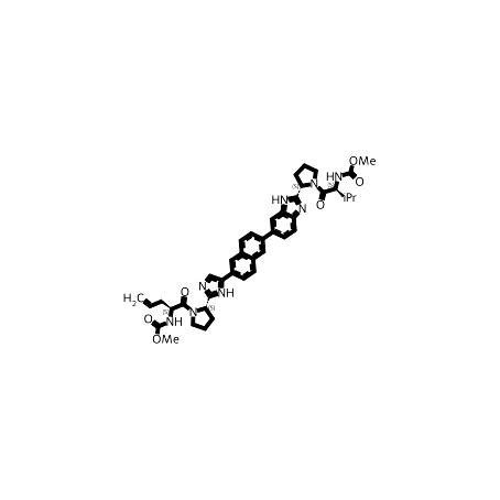 C=CC[C@H](NC(=O)OC)C(=O)N1CCC[C@H]1c1ncc(-c2ccc3cc(-c4ccc5nc([C@@H]6CCCN6C(=O)[C@@H](NC(=O)OC)C(C)C)[nH]c5c4)ccc3c2)[nH]1